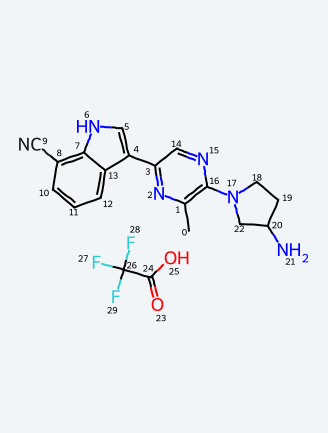 Cc1nc(-c2c[nH]c3c(C#N)cccc23)cnc1N1CCC(N)C1.O=C(O)C(F)(F)F